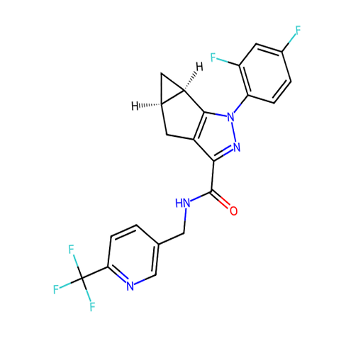 O=C(NCc1ccc(C(F)(F)F)nc1)c1nn(-c2ccc(F)cc2F)c2c1C[C@H]1C[C@@H]21